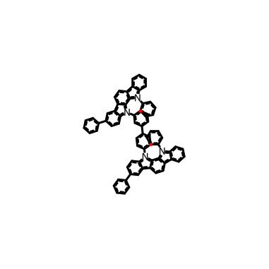 c1ccc(-c2ccc3c(c2)c2ccc4c5ccccc5n(-c5ccccc5)c4c2n3-c2ccc(-c3cccc(-n4c5ccc(-c6ccccc6)cc5c5ccc6c7ccccc7n(-c7ccccc7)c6c54)c3)cc2)cc1